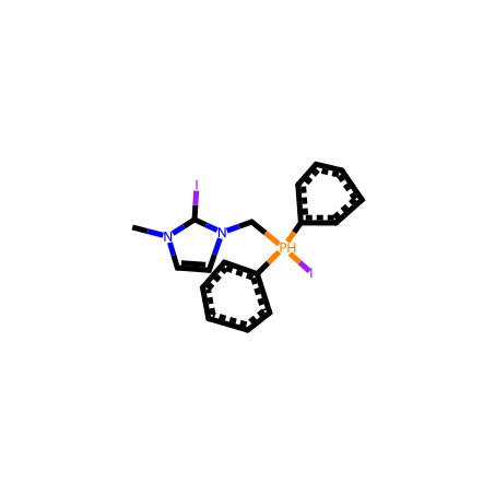 CN1C=CN(C[PH](I)(c2ccccc2)c2ccccc2)C1I